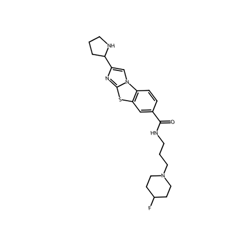 O=C(NCCCN1CCC(F)CC1)c1ccc2c(c1)sc1nc(C3CCCN3)cn12